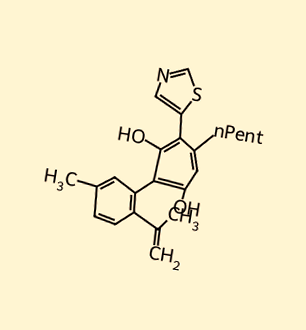 C=C(C)c1ccc(C)cc1-c1c(O)cc(CCCCC)c(-c2cncs2)c1O